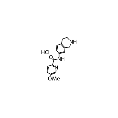 COc1ccc(C(=O)Nc2ccc3c(c2)CNCC3)nc1.Cl